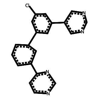 Clc1cc(-c2cncnc2)cc(-c2cccc(-c3ccncn3)c2)c1